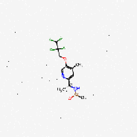 Cc1cc([C@@H](C)N[S+]([O-])C(C)(C)C)ncc1OCC(F)(F)C(F)F